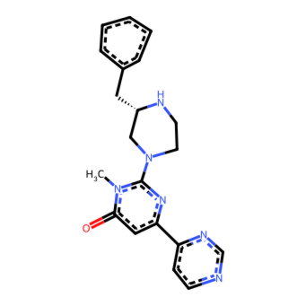 Cn1c(N2CCN[C@@H](Cc3ccccc3)C2)nc(-c2ccncn2)cc1=O